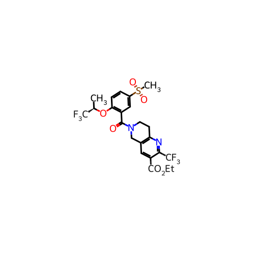 CCOC(=O)c1cc2c(nc1C(F)(F)F)CCN(C(=O)c1cc(S(C)(=O)=O)ccc1O[C@H](C)C(F)(F)F)C2